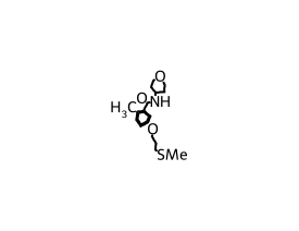 CSCCCOc1ccc(C)c(C(=O)NC2CCOCC2)c1